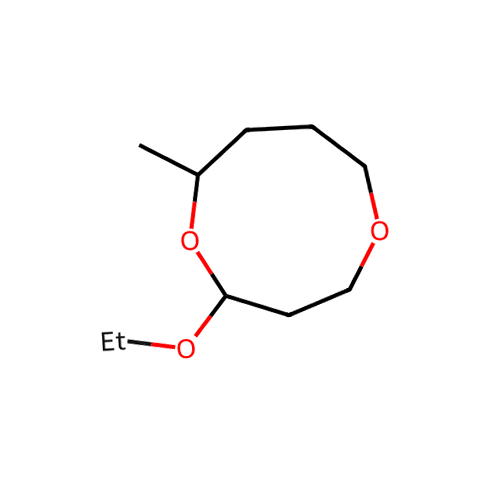 CCOC1CCOCCCC(C)O1